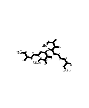 C=C(C(C)CC(C)(C)C)C(CCCCC(C)CC(C)(C)C)OC(CCCCC(C)CC(C)(C)C)C(=C)C(C)CC(C)(C)C